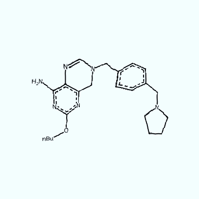 CCCCOc1nc(N)c2c(n1)CN(Cc1ccc(CN3CCCC3)cc1)C=N2